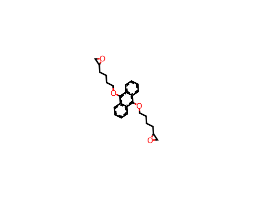 c1ccc2c(OCCCCC3CO3)c3ccccc3c(OCCCCC3CO3)c2c1